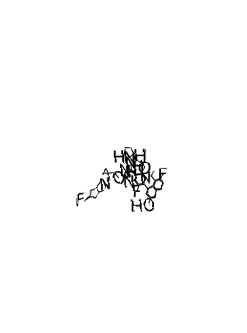 CCc1c(F)ccc2cc(O)cc(-c3nc4c5c(nc(OCC6(CN7CC8CC(=CF)CC8C7)CC6)nc5c3F)N3C[C@H]5CC[C@@H](N5)[C@H]3[C@H](C)O4)c12